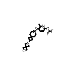 Cc1nc(OC(F)F)ccc1SN1CCC2(CC1)CC(N1CC3(COC3)C1)C2